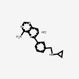 Cl.Nc1ncnc2ccc(-c3cccc(CNC4CC4)c3)nc12